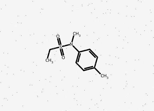 CCS(=O)(=O)N(C)c1ccc(C)cc1